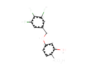 O=C(O)c1ccc(OCc2cc(F)c(F)c(F)c2)cc1O